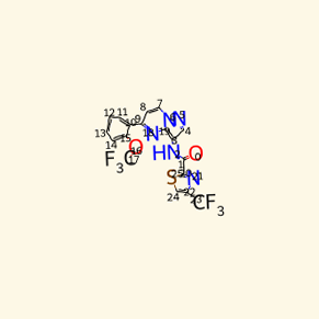 O=C(Nc1cnn2ccc(-c3ccccc3OC(F)(F)F)nc12)c1nc(C(F)(F)F)cs1